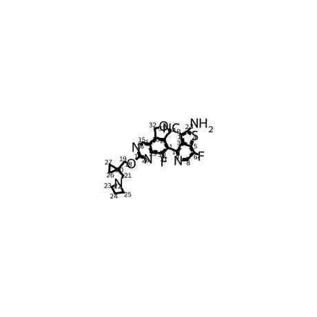 N#Cc1c(N)sc2c(F)cnc(-c3c4c(c5cnc(OCC6(CN7CCC7)CC6)nc5c3F)COC4)c12